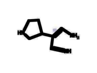 N=C/C(=C\N)C1CCNC1